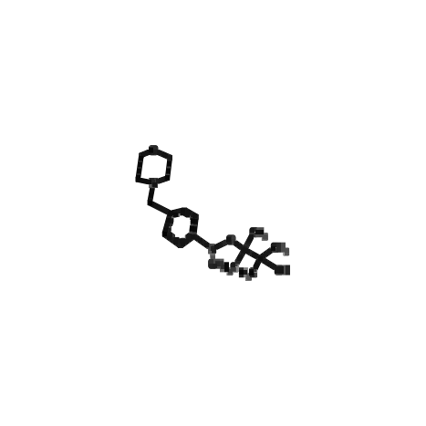 CC(C)(O)C(C)(C)OB(O)c1ccc(CN2CCOCC2)cc1